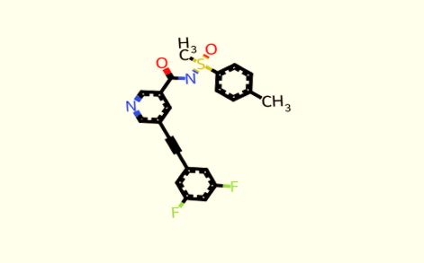 Cc1ccc(S(C)(=O)=NC(=O)c2cncc(C#Cc3cc(F)cc(F)c3)c2)cc1